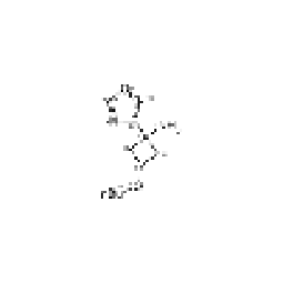 CCCCOC1CC(N)(c2ncon2)C1